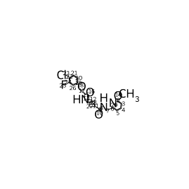 COc1cccc(CNC(=O)C23CC(NC(=O)COc4ccc(Cl)c(F)c4)(C2)C3)n1